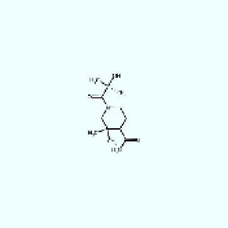 CC1(C)CN(C(=O)[C@@](C)(O)C(F)(F)F)CCC1C(N)=O